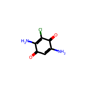 NC1=CC(=O)C(N)=C(Cl)C1=O